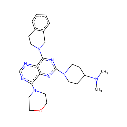 CN(C)C1CCN(c2nc(N3CCc4ccccc4C3)c3ncnc(N4CCOCC4)c3n2)CC1